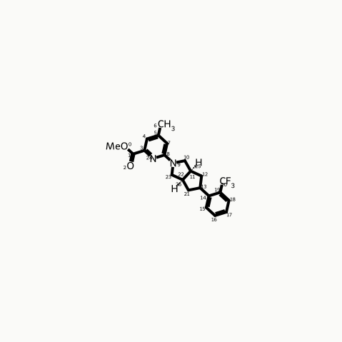 COC(=O)c1cc(C)cc(N2C[C@H]3CC(c4ccccc4C(F)(F)F)C[C@H]3C2)n1